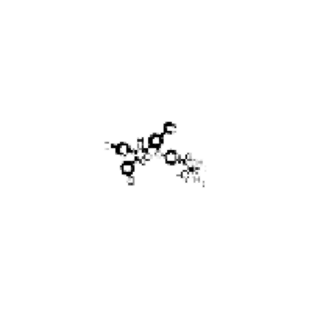 CC(C)(C)OC(=O)N1CCC(Oc2cc(-c3ccsc3)ccc2C(=O)NN(C(=O)c2cccc(Cl)c2)c2ccc(Cl)cn2)CC1